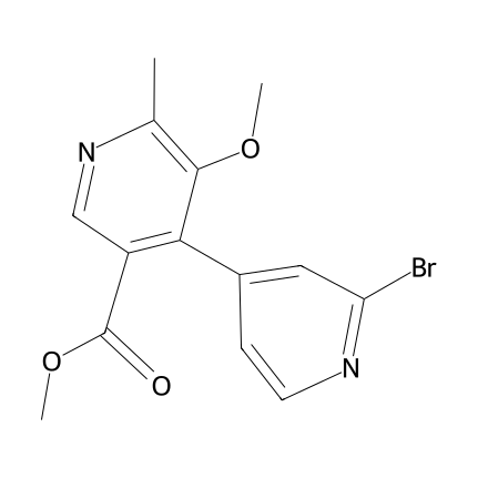 COC(=O)c1cnc(C)c(OC)c1-c1ccnc(Br)c1